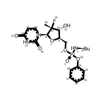 CC[C@H](C)NP(=O)(OC[C@H]1O[C@@H](n2ccc(=O)[nH]c2=O)[C@](C)(F)[C@@H]1O)Oc1ccccc1